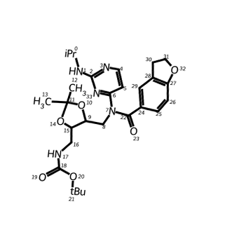 CC(C)Nc1nccc(N(CC2OC(C)(C)OC2CNC(=O)OC(C)(C)C)C(=O)c2ccc3c(c2)CCO3)n1